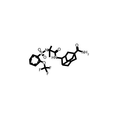 CC(C)(NS(=O)(=O)c1ccccc1OC(F)(F)F)C(=O)NC1C2CC3CC1CC(C(N)=O)(C3)C2